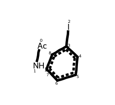 CC(N)=O.Ic1ccccc1